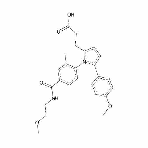 COCCNC(=O)c1ccc(-n2c(CCC(=O)O)ccc2-c2ccc(OC)cc2)c(C)c1